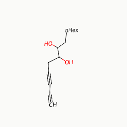 C#CC#CCC(O)C(O)CCCCCCC